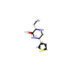 CC(C)C[C@@H]1NC[C@H](c2ccsc2)NC1=O